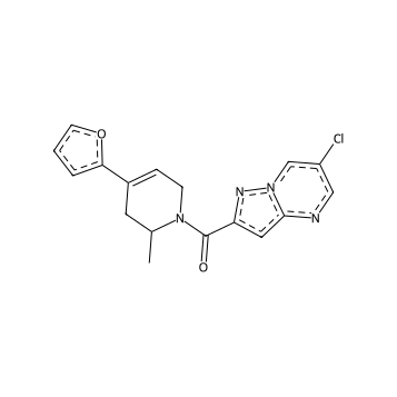 CC1CC(c2ccco2)=CCN1C(=O)c1cc2ncc(Cl)cn2n1